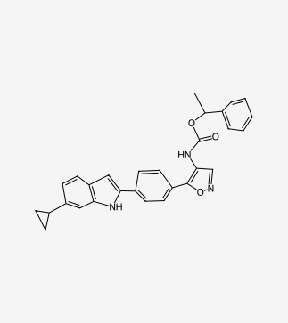 CC(OC(=O)Nc1cnoc1-c1ccc(-c2cc3ccc(C4CC4)cc3[nH]2)cc1)c1ccccc1